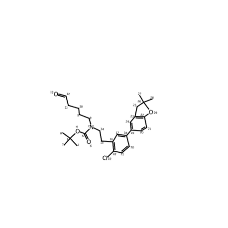 CC(C)(C)OC(=O)N(CCCCC=O)CCc1cc(-c2ccc3c(c2)CC(C)(C)O3)ccc1Cl